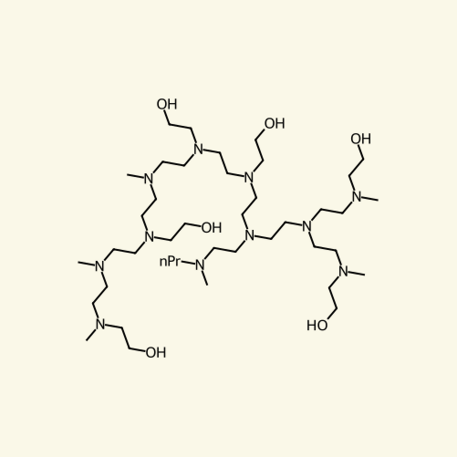 CCCN(C)CCN(CCN(CCN(C)CCO)CCN(C)CCO)CCN(CCO)CCN(CCO)CCN(C)CCN(CCO)CCN(C)CCN(C)CCO